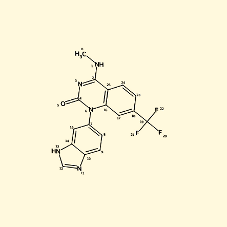 CNc1nc(=O)n(-c2ccc3nc[nH]c3c2)c2cc(C(F)(F)F)ccc12